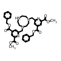 COC(=O)c1cc(C(=O)OCc2ccccc2)cc(CN2CCNCCN(Cc3cc(C(=O)OCc4ccccc4)cc(C(=O)OC)n3)CC2)n1